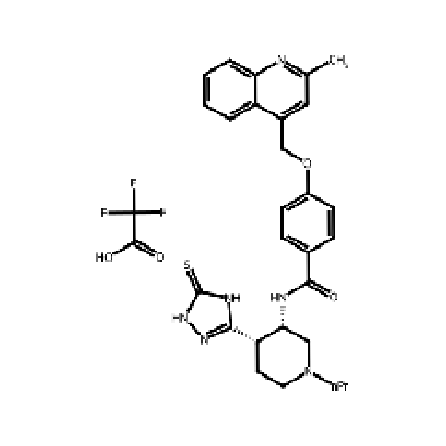 CCCN1CC[C@H](c2n[nH]c(=S)[nH]2)[C@H](NC(=O)c2ccc(OCc3cc(C)nc4ccccc34)cc2)C1.O=C(O)C(F)(F)F